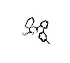 Cc1cccc(-c2ccccc2C(=O)N2CCC[CH]C2C(N)=O)c1